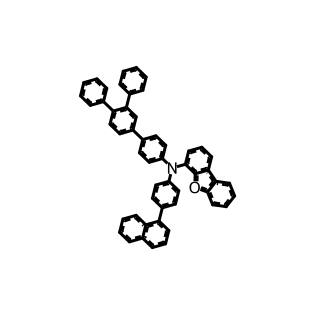 c1ccc(-c2ccc(-c3ccc(N(c4ccc(-c5cccc6ccccc56)cc4)c4cccc5c4oc4ccccc45)cc3)cc2-c2ccccc2)cc1